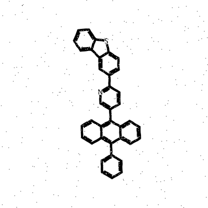 c1ccc(-c2c3ccccc3c(-c3ccc(-c4ccc5sc6ccccc6c5c4)nc3)c3ccccc23)cc1